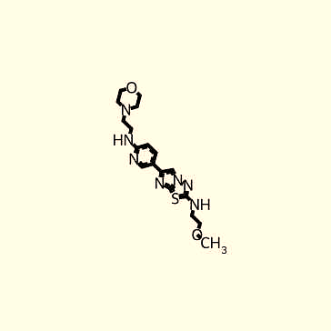 COCCNc1nn2cc(-c3ccc(NCCN4CCOCC4)nc3)nc2s1